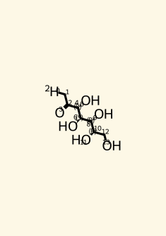 [2H]CC(=O)[C@H](O)[C@@H](O)[C@H](O)[C@H](O)CO